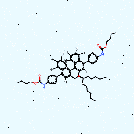 [2H]c1c([2H])c([2H])c2c(-c3c(CCCCCCCC)c([2H])c(-c4ccc(NC(=O)OCCCC)cc4)c4c([2H])c([2H])c([2H])c([2H])c34)c(CCCCCCCC)c([2H])c(-c3ccc(NC(=O)OCCCC)cc3)c2c1[2H]